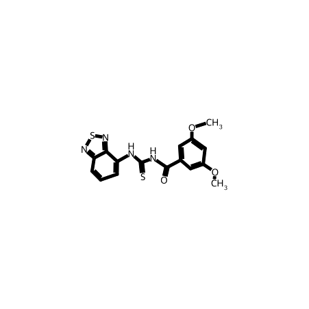 COc1cc(OC)cc(C(=O)NC(=S)Nc2cccc3nsnc23)c1